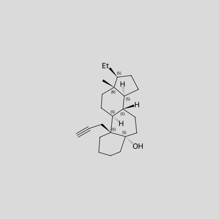 C#CC[C@]12CCCC[C@]1(O)CC[C@H]1[C@@H]3CC[C@H](CC)[C@@]3(C)CC[C@@H]12